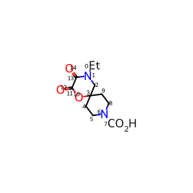 CCN1CC2(CCN(C(=O)O)CC2)OC(=O)C1=O